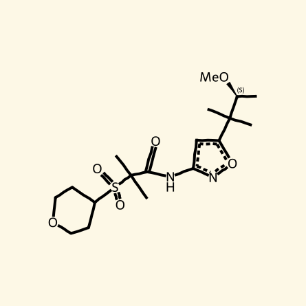 CO[C@@H](C)C(C)(C)c1cc(NC(=O)C(C)(C)S(=O)(=O)C2CCOCC2)no1